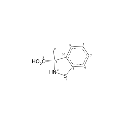 C[C@]1(C(=O)O)NSc2ccccc21